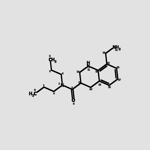 CCCN(CCC)C(=O)C1CNc2c(CN)cccc2C1